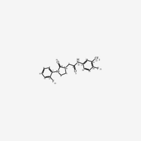 O=C(CN1CCN(c2ccccc2F)C1=O)Nc1ccc(F)c(C(F)(F)F)c1